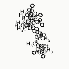 CCC1O[C@@H](OC2[C@H](OC3CCC4(C)C(CCC5C4CCC4(C)C5CC(=O)C4[C@H](C)C(=O)CC[C@H](C)CO[C@@H]4OC(CC)[C@H](C)[C@H](OC(=O)c5ccccc5)C4OC(=O)c4ccccc4)C3)OC(COC(=O)c3ccccc3)[C@H](O[C@@H]3OC(C)[C@H](C)[C@H](OC(=O)c4ccccc4)C3OC(=O)c3ccccc3)[C@@H]2C)C(C)[C@@H](C)[C@@H]1C